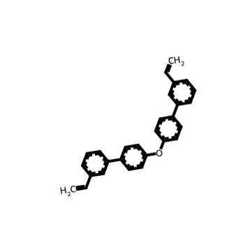 C=Cc1cccc(-c2ccc(Oc3ccc(-c4cccc(C=C)c4)cc3)cc2)c1